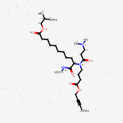 CCCCCCC#CCOC(=O)CCCN(C(=O)CCN(CC)CC)C(CCCCCCCCC(=O)OCC(CCCC)CCCCCC)C(=O)NCCCCCCCC